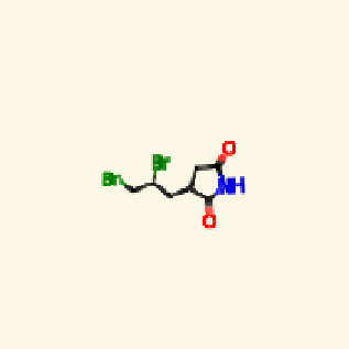 O=C1CC(CC(Br)CBr)C(=O)N1